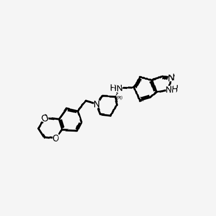 c1cc2c(cc1CN1CCC[C@@H](Nc3ccc4[nH]ncc4c3)C1)OCCO2